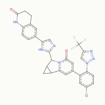 O=C1CCc2cc(-c3cnc(C4C5CC5c5cc(-c6cc(Cl)ccc6-n6cc(C(F)(F)F)nn6)cc(=O)n54)[nH]3)ccc2N1